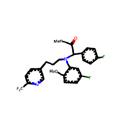 CNC(=O)C(c1ccc(F)cc1)N(CCCc1ccc(C(F)(F)F)nc1)c1cc(F)ccc1OC